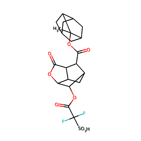 CC1(OC(=O)C2C3CC4C(OC(=O)C42)C3OC(=O)C(F)(F)S(=O)(=O)O)C2CC3CC(C2)C1C3